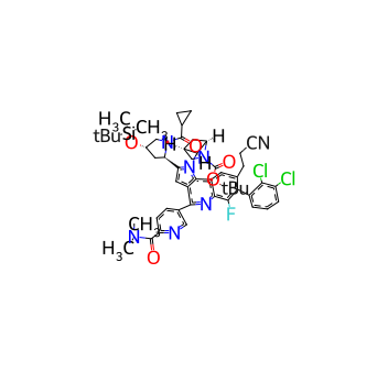 CN(C)C(=O)c1ccc(-c2nc3c(F)c(-c4cccc(Cl)c4Cl)c(CCC#N)cc3c3c2cc([C@H]2C[C@H](O[Si](C)(C)C(C)(C)C)CN2C(=O)C2CC2)n3[C@H]2[C@@H]3C[C@H]2N(C(=O)OC(C)(C)C)C3)cn1